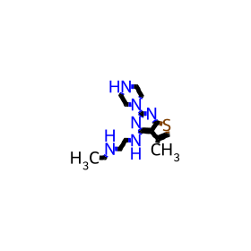 CCNCCNc1nc(N2CCNCC2)nc2scc(C)c12